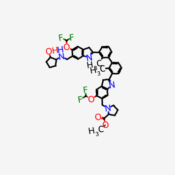 COC(=O)C1CCCN1Cc1cc2c(cc1OC(F)F)CC(c1cccc(-c3cccc(C4=Nc5cc(CNC6CCCC6O)c(OC(F)F)cc5C4)c3C)c1C)=N2